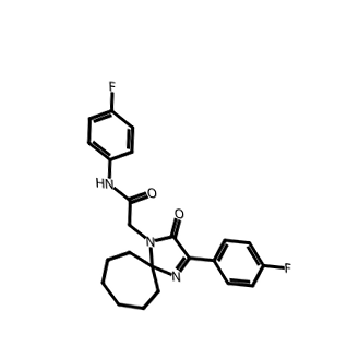 O=C(CN1C(=O)C(c2ccc(F)cc2)=NC12CCCCCC2)Nc1ccc(F)cc1